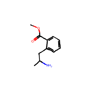 COC(=O)c1ccccc1CC(C)N